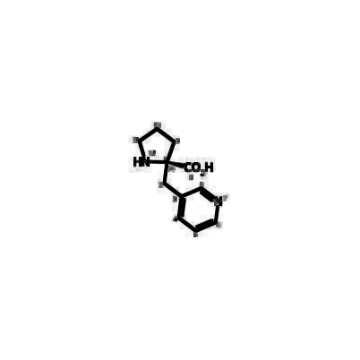 O=C(O)[C@]1(Cc2cccnc2)CCCN1